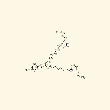 CCCC/C=C\C/C=C\CCCCCCCCC(CCCCCCCC/C=C\C/C=C\CCCCC)ON=C1CCN(C)CC1